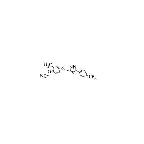 Cc1cc(SCc2nnc(-c3ccc(C(F)(F)F)cc3)s2)ccc1OCC#N